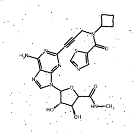 CNC(=O)C1OC(n2cnc3c(N)nc(C#CCN(C(=O)c4cncs4)C4CCC4)nc32)[C@H](O)[C@@H]1O